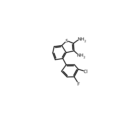 Nc1sc2cccc(-c3ccc(F)c(Cl)c3)c2c1N